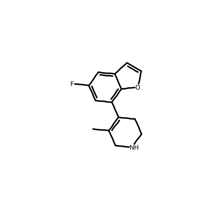 CC1=C(c2cc(F)cc3ccoc23)CCNC1